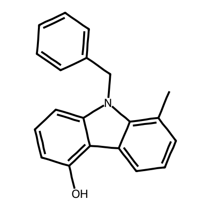 Cc1cccc2c3c(O)cccc3n(Cc3ccccc3)c12